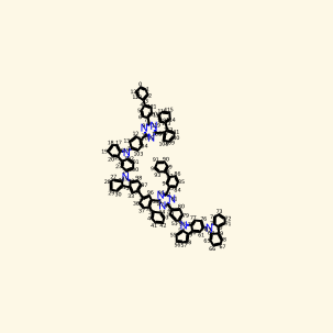 c1ccc(-c2ccc(-c3nc(-c4ccc(-n5c6ccccc6c6cc(-n7c8ccccc8c8cc(-c9ccc(-c%10ccccc%10)c(-c%10nc(-c%11ccc(-n%12c%13ccccc%13c%13cc(-n%14c%15ccccc%15c%15ccccc%15%14)ccc%13%12)cc%11)nc(-c%11cccc(-c%12ccccc%12)c%11)n%10)c9)ccc87)ccc65)cc4)nc(-c4ccccc4-c4ccccc4)n3)cc2)cc1